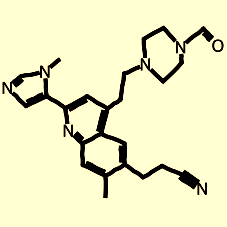 Cc1cc2nc(-c3cncn3C)cc(CCN3CCN(C=O)CC3)c2cc1CCC#N